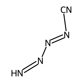 N#C/N=N/N=N